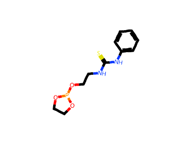 S=C(NCCOP1OCCO1)Nc1ccccc1